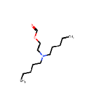 CCCCCN(CCCCC)CCOC=O